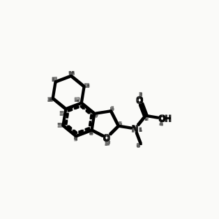 CN(C(=O)O)C1Cc2c(ccc3c2CCCC3)O1